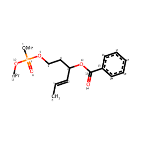 C/C=C/C(CCOP(=O)(OC)OCCC)OC(=O)c1ccccc1